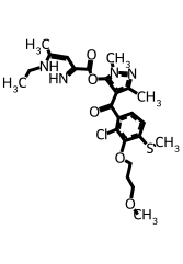 CCN/C(C)=C\C(=N)C(=O)Oc1c(C(=O)c2ccc(SC)c(OCCCOC)c2Cl)c(C)nn1C